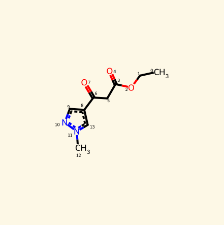 CCOC(=O)CC(=O)c1cnn(C)c1